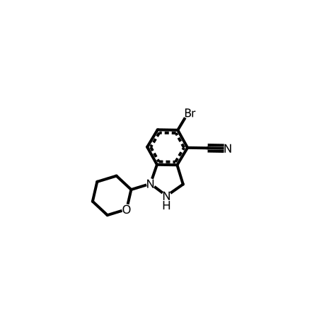 N#Cc1c(Br)ccc2c1CNN2C1CCCCO1